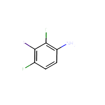 Nc1ccc(F)c(I)c1F